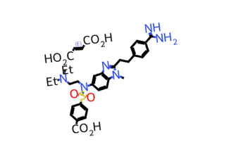 CCN(CC)CCN(c1ccc2c(c1)nc(CCc1ccc(C(=N)N)cc1)n2C)S(=O)(=O)c1ccc(C(=O)O)cc1.O=C(O)/C=C/C(=O)O